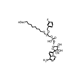 CCCCCCCCCCCCCCCCCCOC[C@H](COP(=O)(O)OC[C@H]1O[C@@](C#N)(c2ccc3c(N)ncnn23)[C@H](O)[C@@H]1O)OCc1cccc(F)c1